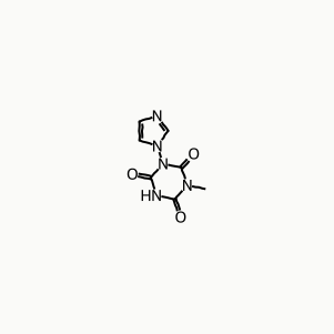 Cn1c(=O)[nH]c(=O)n(-n2ccnc2)c1=O